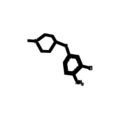 CN1CCC(Sc2ccc(N)c(Cl)c2)CC1